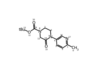 Cc1ccc(N2CCN(C(=O)OC(C)(C)C)CC2=O)cn1